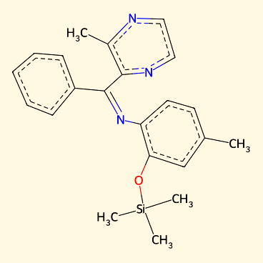 Cc1ccc(N=C(c2ccccc2)c2nccnc2C)c(O[Si](C)(C)C)c1